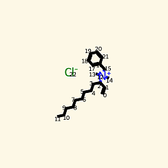 C=CC(CCCCCCCCC)[N+](C)(C)Cc1ccccc1.[Cl-]